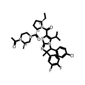 CC[C@@H]1CC[C@@H](C(=O)N2CCN(C(C)=O)[C@H](C)C2)N1C(=O)C1=C(C(C)C)N2C(=NC(C)(c3ccc(F)c(F)c3)C2c2ccc(Cl)cc2)S1